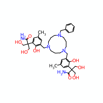 Cc1cc(CN2CCCN(Cc3ccccc3)CCCN(Cc3cc(C)cc(C(CO)(CO)C(N)=O)c3O)CCC2)c(O)c(C(CO)(CO)C(N)=O)c1